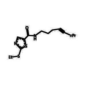 CCCC#CCCCNC(=O)c1cnc(SCC)s1